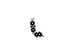 COc1ccc(S(=O)(=O)c2ccc(Oc3ccc4cc(C)ccc4c3)cc2)cc1